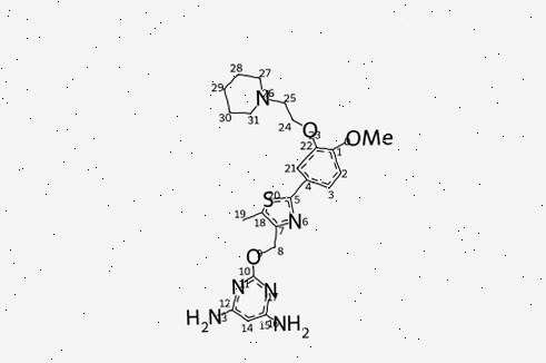 COc1ccc(-c2nc(COc3nc(N)cc(N)n3)c(C)s2)cc1OCCN1CCCCC1